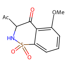 COc1cccc2c1C(=O)C(C(C)=O)NS2(=O)=O